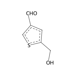 O=Cc1csc(CO)c1